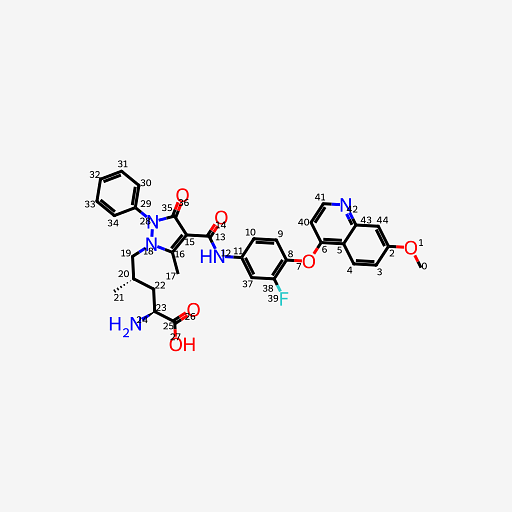 COc1ccc2c(Oc3ccc(NC(=O)c4c(C)n(C[C@@H](C)C[C@H](N)C(=O)O)n(-c5ccccc5)c4=O)cc3F)ccnc2c1